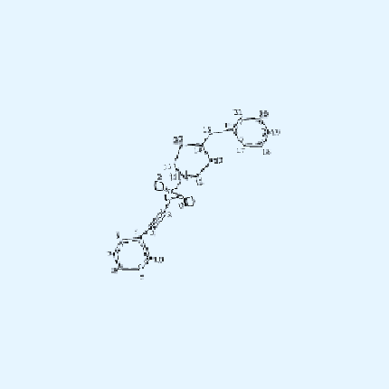 O=S(=O)(C#Cc1ccccc1)N1CCC(Cc2ccccc2)CC1